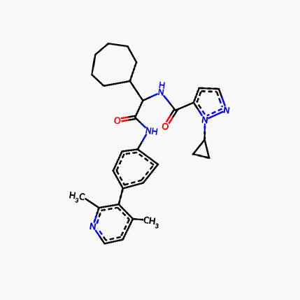 Cc1ccnc(C)c1-c1ccc(NC(=O)C(NC(=O)c2ccnn2C2CC2)C2CCCCCC2)cc1